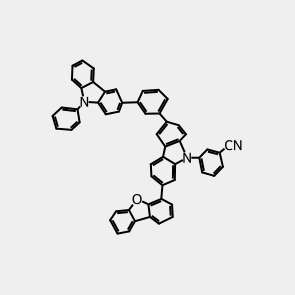 N#Cc1cccc(-n2c3ccc(-c4cccc(-c5ccc6c(c5)c5ccccc5n6-c5ccccc5)c4)cc3c3ccc(-c4cccc5c4oc4ccccc45)cc32)c1